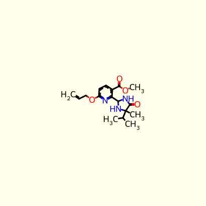 C=CCOc1ccc(C(=O)OC)c(C2NC(=O)C(C)(C(C)C)N2)n1